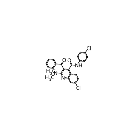 CN(C)c1nc2cc(Cl)ccc2c(C(=O)Nc2ccc(Cl)cc2)c1C(=O)c1ccccc1